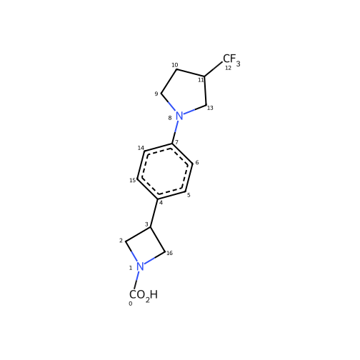 O=C(O)N1CC(c2ccc(N3CCC(C(F)(F)F)C3)cc2)C1